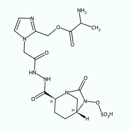 CC(N)C(=O)OCc1nccn1CC(=O)NNC(=O)[C@@H]1CC[C@@H]2CN1C(=O)N2OS(=O)(=O)O